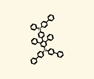 C1=CC(N(c2ccccc2)c2ccc(-c3c(-c4ccccc4)cc(N(c4ccc(-c5ccccc5)cc4)c4ccc(-c5ccccc5)cc4)cc3-c3ccccc3)cc2)CC=C1c1ccccc1